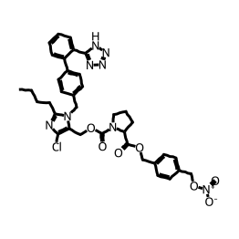 CCCCc1nc(Cl)c(COC(=O)N2CCCC2C(=O)OCc2ccc(CO[N+](=O)[O-])cc2)n1Cc1ccc(-c2ccccc2-c2nnn[nH]2)cc1